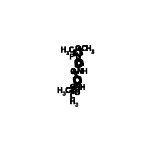 CC1CN(c2ccc(NC(=O)C3CCC(NS(=O)(=O)C(C)C)CC3)cc2)C(F)[C@@H](C)O1